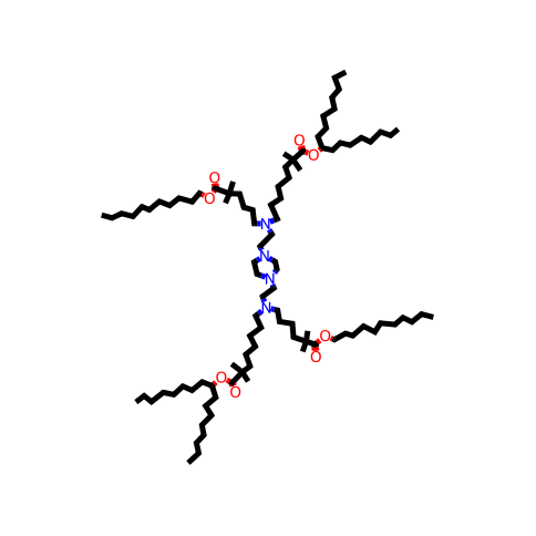 CCCCCCCCCCCOC(=O)C(C)(C)CCCCN(CCCCCCC(C)(C)C(=O)OC(CCCCCCCC)CCCCCCCC)CCN1CCN(CCN(CCCCCCC(C)(C)C(=O)OC(CCCCCCCC)CCCCCCCC)CCCCC(C)(C)C(=O)OCCCCCCCCCCC)CC1